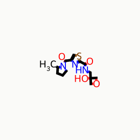 CC1CCCN1C(=O)c1csc(C(=O)NCC2(O)COC2)n1